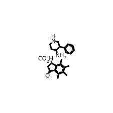 Cc1c(C)c(C)c2c(c1C)C(=O)CC2C(=O)O.NC1CCNCC1c1ccccc1